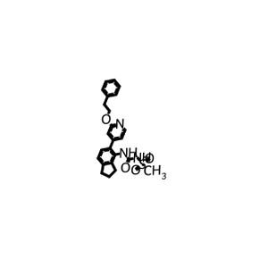 CS(=O)(=O)NC(=O)Nc1c(-c2ccnc(OCCc3ccccc3)c2)ccc2c1CCC2